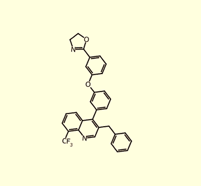 FC(F)(F)c1cccc2c(-c3cccc(Oc4cccc(C5=NCCO5)c4)c3)c(Cc3ccccc3)cnc12